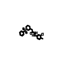 Cc1ccc(NNC(=O)CC2CCCN(S(=O)(=O)c3ccccc3)C2)cc1Cl